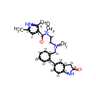 Cc1cc(C(=O)N(C)CCN(C)Cc2ccccc2-c2ccc3c(c2)CC(=O)N3)c(C=O)[nH]1